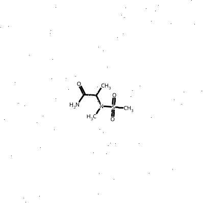 CC(C(N)=O)N(C)S(C)(=O)=O